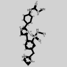 CCNS(=O)(=O)c1cc(Cc2ncc[nH]2)ccc1-c1cnc(C2CCC(NC(=O)OC(C)C)CC2)s1